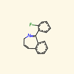 Fc1ccccc1C1=NCC=Cc2ccccc21